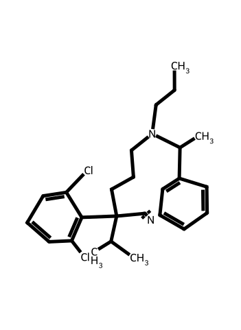 CCCN(CCCC(C#N)(c1c(Cl)cccc1Cl)C(C)C)C(C)c1ccccc1